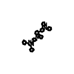 c1ccc(-c2cc(-c3ccccc3)nc(-c3ccc(-n4c5ccccc5c5c(-c6ccc7c(c6)c6cccnc6n7-c6ccccc6)cccc54)cc3)n2)cc1